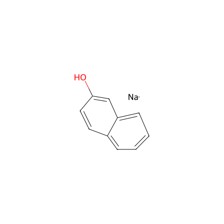 Oc1ccc2ccccc2c1.[Na]